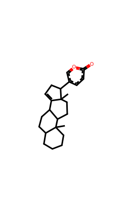 CC12CCC3C(CCC4CCCCC43C)C1=CCC2c1ccc(=O)oc1